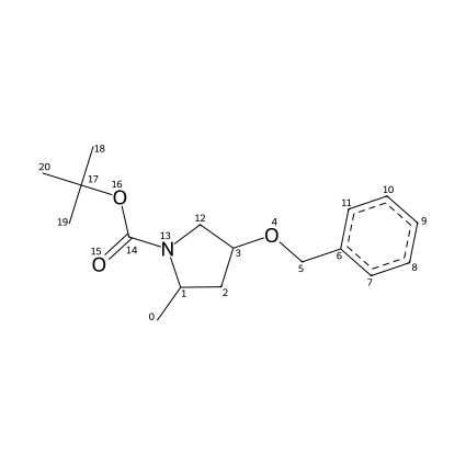 CC1CC(OCc2ccccc2)CN1C(=O)OC(C)(C)C